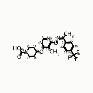 CC(=NOc1ncnc(OC2CCN(C(=O)O)CC2)c1C)c1ccc(C(F)(F)F)cc1